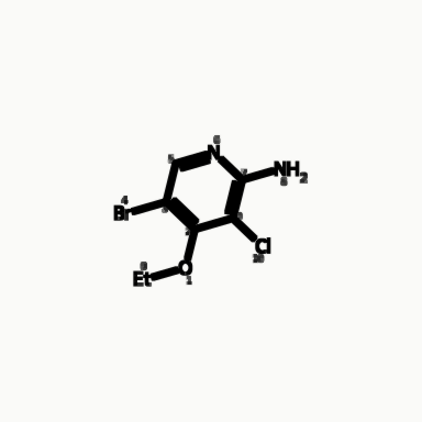 CCOc1c(Br)cnc(N)c1Cl